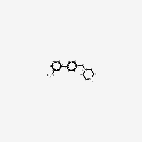 Cc1cncc(-c2ccc(CN3CCOCC3)cc2)c1